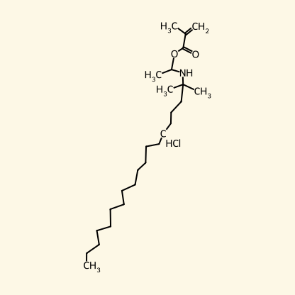 C=C(C)C(=O)OC(C)NC(C)(C)CCCCCCCCCCCCCCCCC.Cl